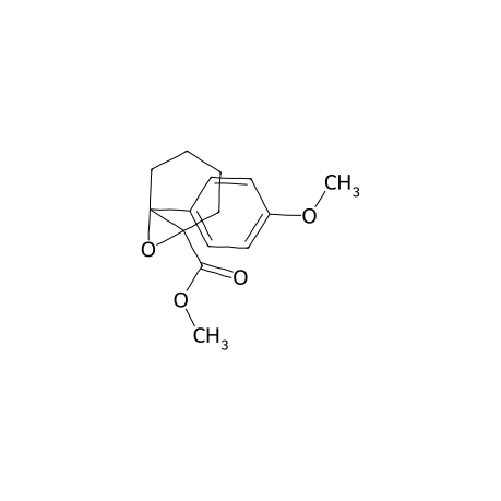 COC(=O)C12CCCCC1(c1ccc(OC)cc1)O2